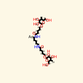 CC(=O)C(CCCCNC(=O)CCCCOC1OC(CO)C(C)C(O)C1O)NC(=O)CCCCOC1OC(CO)C(C)C(O)C1O